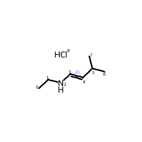 CCN/C=C/C(C)C.Cl